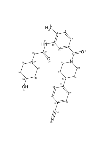 Cc1ccc(C(=O)N2CCC(c3ccc(C#N)cc3)CC2)cc1NC(=O)CN1CCC(O)CC1